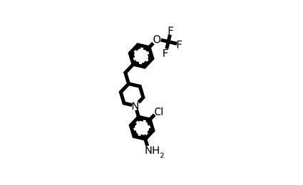 Nc1ccc(N2CCC(Cc3ccc(OC(F)(F)F)cc3)CC2)c(Cl)c1